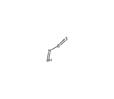 B=NB=S